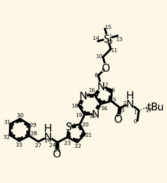 C[C@H](NC(=O)c1cn(COCC[Si](C)(C)C)c2ncc(-c3ccc(C(=O)NCc4ccccc4)s3)nc12)C(C)(C)C